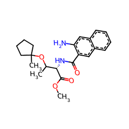 COC(=O)[C@@H](NC(=O)c1cc2ccccc2cc1N)C(C)OC1(C)CCCC1